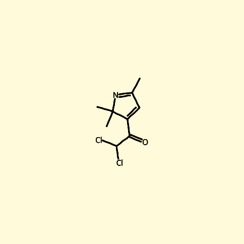 CC1=NC(C)(C)C(C(=O)C(Cl)Cl)=C1